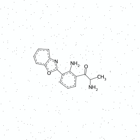 CC(N)C(=O)c1cccc(-c2nc3ccccc3o2)c1N